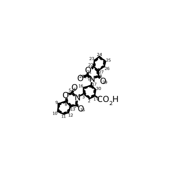 O=C(O)c1cc(-n2c(=O)oc3ccccc3c2=O)cc(-n2c(=O)oc3ccccc3c2=O)c1